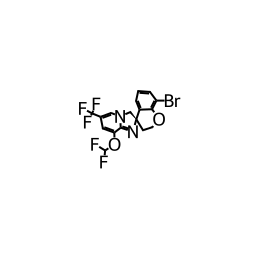 FC(F)OC1=CC(C(F)(F)F)=CN2C[C@@]3(CCOc4c(Br)cccc43)N=C12